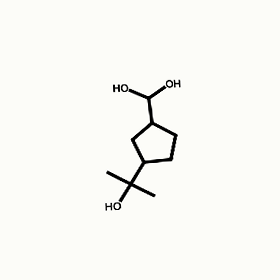 CC(C)(O)C1CCC(C(O)O)C1